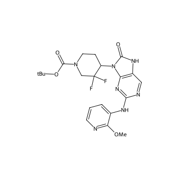 COc1ncccc1Nc1ncc2[nH]c(=O)n(C3CCN(C(=O)OC(C)(C)C)CC3(F)F)c2n1